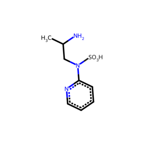 CC(N)CN(c1ccccn1)S(=O)(=O)O